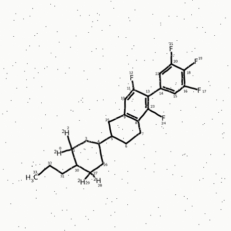 [2H]C1([2H])CC(C2CCc3c(cc(F)c(-c4cc(F)c(F)c(F)c4)c3F)C2)CC([2H])([2H])C1CCC